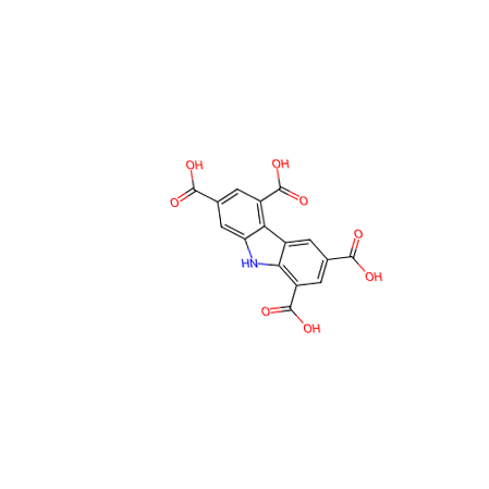 O=C(O)c1cc(C(=O)O)c2c(c1)[nH]c1c(C(=O)O)cc(C(=O)O)cc12